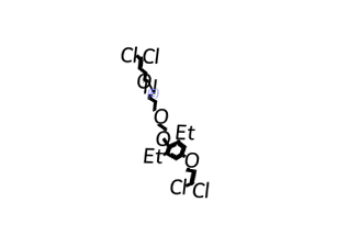 CCc1cc(OCC=C(Cl)Cl)cc(CC)c1OCCOCC/C=N/OCC=C(Cl)Cl